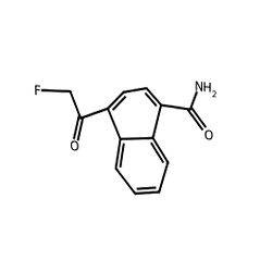 NC(=O)c1ccc(C(=O)CF)c2ccccc12